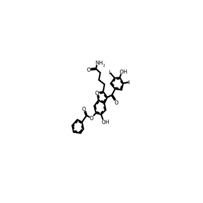 NC(=O)CCCc1oc2cc(OC(=O)c3ccccc3)c(O)cc2c1C(=O)c1cc(I)c(O)c(I)c1